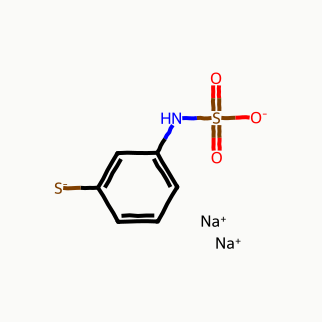 O=S(=O)([O-])Nc1cccc([S-])c1.[Na+].[Na+]